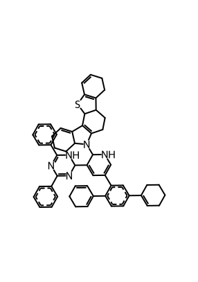 C1=CC(c2ccc(C3=CCCCC3)cc2C2=CNC(N3C4=C(C5=CCCCC53)C3SC5=C(CCC=C5)C3CC4)C(C3N=C(c4ccccc4)N=C(c4ccccc4)N3)=C2)=CCC1